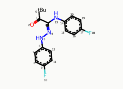 CC(C)(C)C(=O)/C(=N\Nc1ccc(F)cc1)Nc1ccc(F)cc1